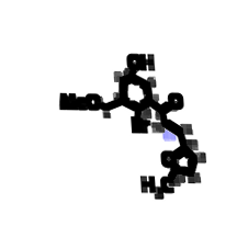 COCc1cc(O)cc(C(=O)/C=C/c2ccc(C)o2)c1Br